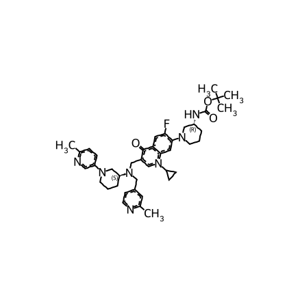 Cc1ccc(N2CCC[C@H](N(Cc3ccnc(C)c3)Cc3cn(C4CC4)c4cc(N5CCC[C@@H](NC(=O)OC(C)(C)C)C5)c(F)cc4c3=O)C2)cn1